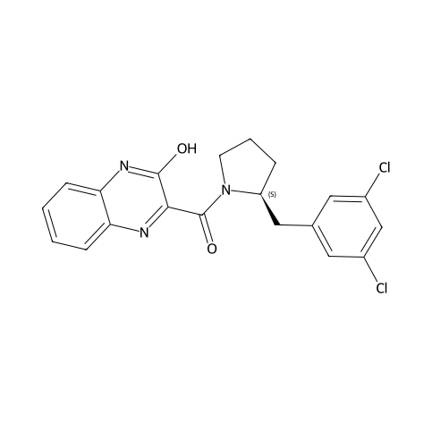 O=C(c1nc2ccccc2nc1O)N1CCC[C@H]1Cc1cc(Cl)cc(Cl)c1